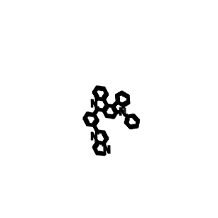 c1ccc(-n2c3ccccc3c3c4c(ccc32)c(-c2cccc(-c3ccc5ncccc5n3)c2)nc2ccccc24)cc1